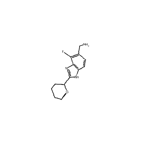 NCc1ccc2[nH]c(C3CCCCO3)nc2c1F